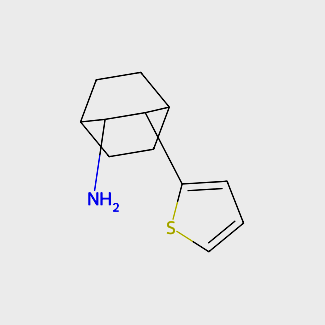 NC1C2CCC(CC2)C1c1cccs1